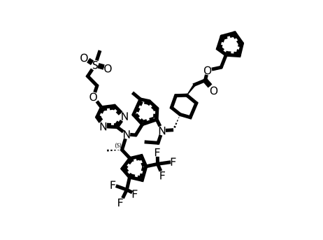 CCN(C[C@H]1CC[C@H](CC(=O)OCc2ccccc2)CC1)c1ccc(C)cc1CN(c1ncc(OCCS(C)(=O)=O)cn1)[C@@H](C)c1cc(C(F)(F)F)cc(C(F)(F)F)c1